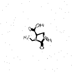 CCN1C(=O)NCC1C(=O)O